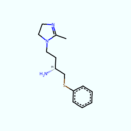 CC1=NCCN1CC[C@@H](N)CSc1ccccc1